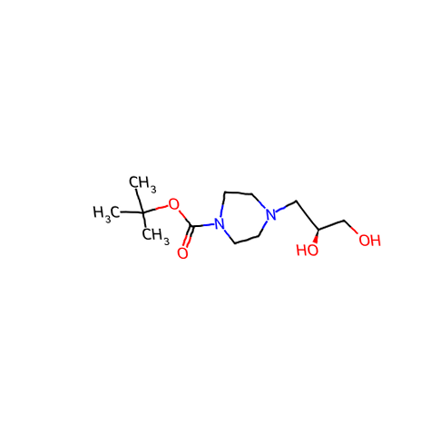 CC(C)(C)OC(=O)N1CCN(C[C@H](O)CO)CC1